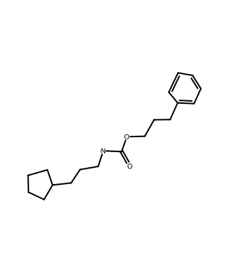 O=C([N]CCCC1CCCC1)OCCCc1ccccc1